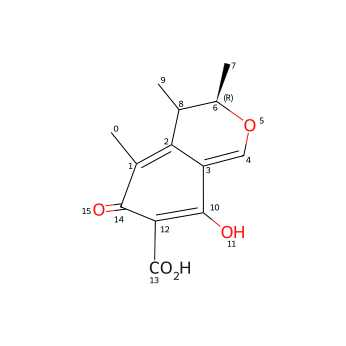 CC1=C2C(=CO[C@H](C)C2C)C(O)=C(C(=O)O)C1=O